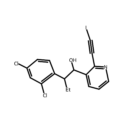 CCC(c1ccc(Cl)cc1Cl)C(O)c1cccnc1C#CI